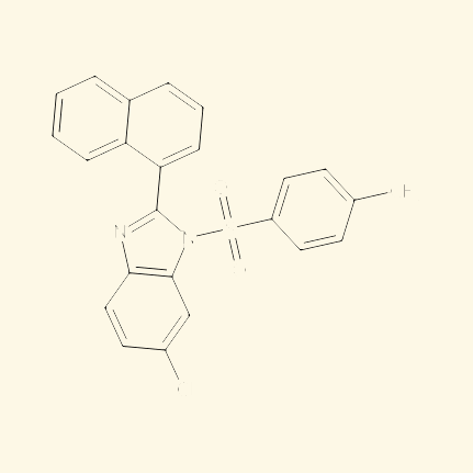 O=S(=O)(c1ccc(C(F)(F)F)cc1)n1c(-c2cccc3ccccc23)nc2ccc(Cl)cc21